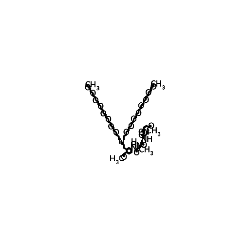 COCCOCCOCCOCCOCCOCCOCCOCCCN(CCCOCCOCCOCCOCCOCCOCCOCCOC)CCCc1cc(NC(=O)C(C)NC(=O)CNC(=O)CN(C)C(=O)/C=C\C=O)ccc1COC